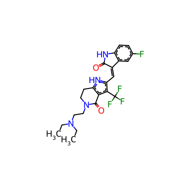 CCN(CC)CCN1CCc2[nH]c(C=C3C(=O)Nc4ccc(F)cc43)c(C(F)(F)F)c2C1=O